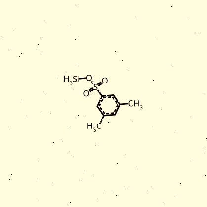 Cc1cc(C)cc(S(=O)(=O)O[SiH3])c1